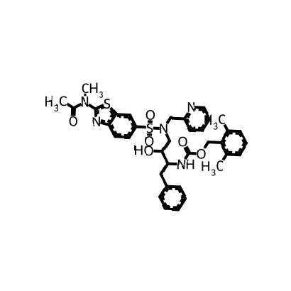 CC(=O)N(C)c1nc2ccc(S(=O)(=O)N(Cc3ccccn3)CC(O)C(Cc3ccccc3)NC(=O)OCc3c(C)cccc3C)cc2s1